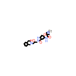 CCN1CC2(C1)Oc1ccc(C(=O)NC[C@H](O)CN3CCc4ccccc4C3)cc1NC2=O